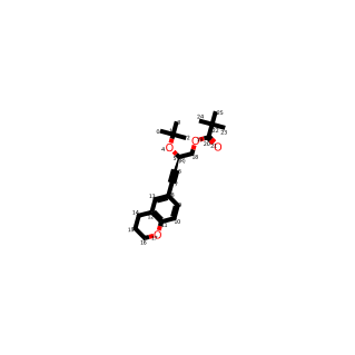 CC(C)(C)O[C@H](C#Cc1ccc2c(c1)CCCO2)COC(=O)C(C)(C)C